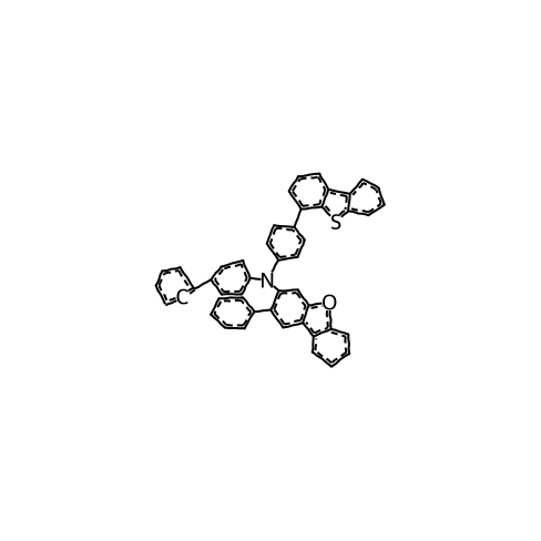 c1ccc(-c2ccc(N(c3ccc(-c4cccc5c4sc4ccccc45)cc3)c3cc4oc5ccccc5c4cc3-c3ccccc3)cc2)cc1